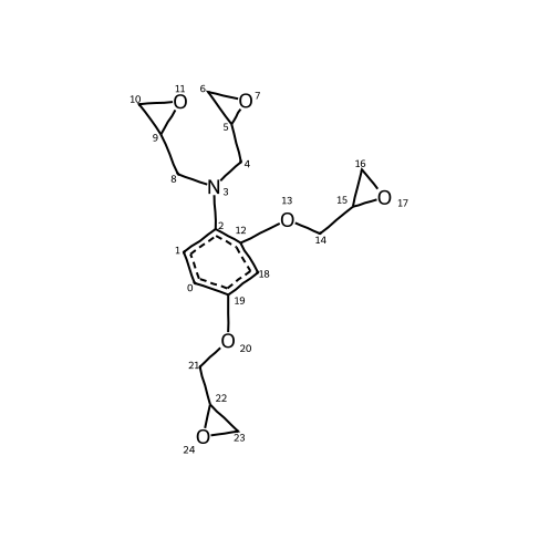 c1cc(N(CC2CO2)CC2CO2)c(OCC2CO2)cc1OCC1CO1